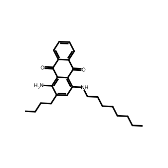 CCCCCCCCNc1cc(CCCC)c(N)c2c1C(=O)c1ccccc1C2=O